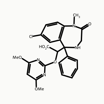 COc1cc(OC)nc(OC(C(=O)O)C2(c3ccccc3)NCC(=O)N(C)c3ccc(Cl)cc32)n1